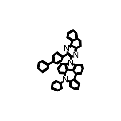 c1ccc(-c2ccc(-c3nc4c(ccc5ccccc54)nc3-n3c4cccc5c6ccccc6n(-c6ccccc6)c6cccc3c6c54)cc2)cc1